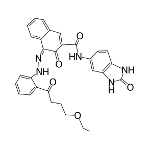 CCOCCCC(=O)c1ccccc1N/N=C1\C(=O)C(C(=O)Nc2ccc3[nH]c(=O)[nH]c3c2)=Cc2ccccc21